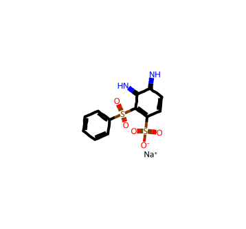 N=C1C=CC(S(=O)(=O)[O-])=C(S(=O)(=O)c2ccccc2)C1=N.[Na+]